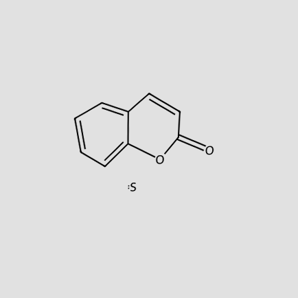 O=c1ccc2ccccc2o1.[S]